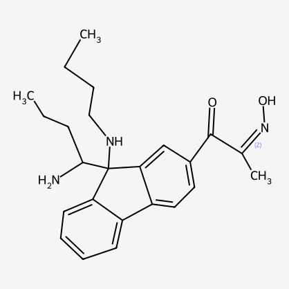 CCCCNC1(C(N)CCC)c2ccccc2-c2ccc(C(=O)/C(C)=N\O)cc21